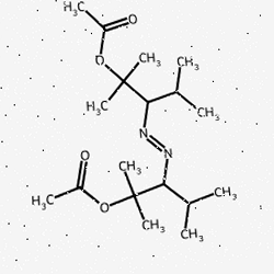 CC(=O)OC(C)(C)C(N=NC(C(C)C)C(C)(C)OC(C)=O)C(C)C